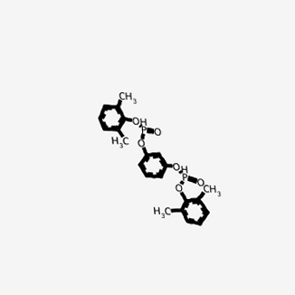 Cc1cccc(C)c1O[PH](=O)Oc1cccc(O[PH](=O)Oc2c(C)cccc2C)c1